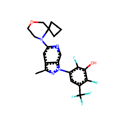 Cc1nn(-c2cc(C(F)(F)F)c(F)c(O)c2F)c2cnc(N3CCOCC34CCC4)cc12